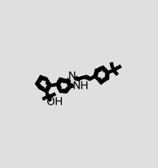 CC(C)(C)c1ccc(C=Cc2nc3cc(-c4ccccc4C(C)(C)O)ccc3[nH]2)cc1